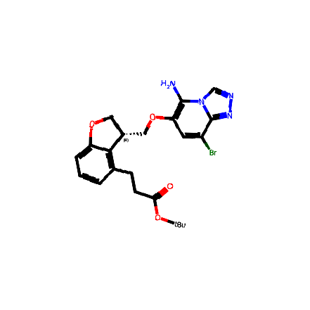 CC(C)(C)OC(=O)CCc1cccc2c1[C@@H](COc1cc(Br)c3nncn3c1N)CO2